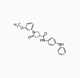 COc1cccc(N2CC(C(=O)Nc3ccc(Nc4ccccc4)cc3)CC2=O)c1